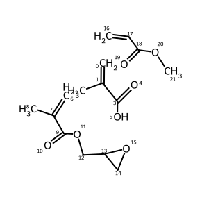 C=C(C)C(=O)O.C=C(C)C(=O)OCC1CO1.C=CC(=O)OC